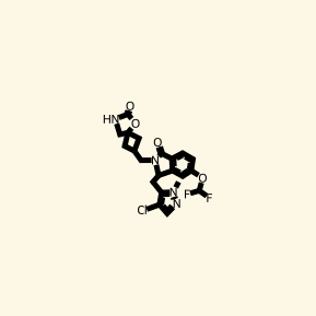 Cn1ncc(Cl)c1CC1c2cc(OC(F)F)ccc2C(=O)N1CC1CC2(CNC(=O)O2)C1